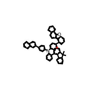 CC1(C)c2ccccc2-c2c(-c3ccccc3N(c3ccc(-c4ccc5ccccc5c4)cc3)c3ccc(-c4cccc5oc6c7ccccc7ccc6c45)cc3)cccc21